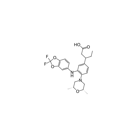 CCC(CC(=O)O)c1ccc(N2C[C@@H](C)O[C@@H](C)C2)c(Nc2ccc3c(c2)OC(F)(F)O3)c1